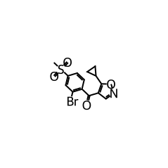 CS(=O)(=O)c1ccc(C(=O)c2cnoc2C2CC2)c(Br)c1